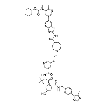 Cc1ncc(-c2ccc3nc(NC(=O)C4CCCN(CCOc5cncc(C(=O)N[C@H](C(=O)N6C[C@H](O)C[C@H]6C(=O)NCc6ccc(-c7scnc7C)cc6)C(C)(C)C)c5)CC4)sc3c2)cc1NC(=O)OC1CCCCC1